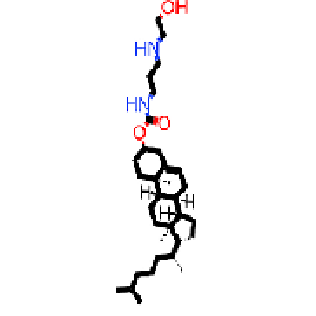 CC(C)CCC[C@@H](C)[C@H]1CC[C@H]2[C@@H]3CC=C4C[C@@H](OC(=O)NCCCNCCO)CC[C@]4(C)[C@H]3CC[C@]12C